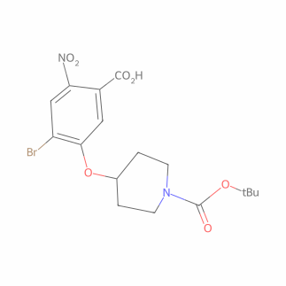 CC(C)(C)OC(=O)N1CCC(Oc2cc(C(=O)O)c([N+](=O)[O-])cc2Br)CC1